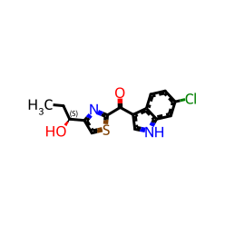 CC[C@H](O)c1csc(C(=O)c2c[nH]c3cc(Cl)ccc23)n1